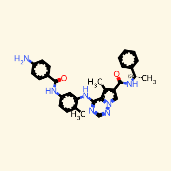 Cc1ccc(NC(=O)c2ccc(N)cc2)cc1Nc1ncnn2cc(C(=O)N[C@@H](C)c3ccccc3)c(C)c12